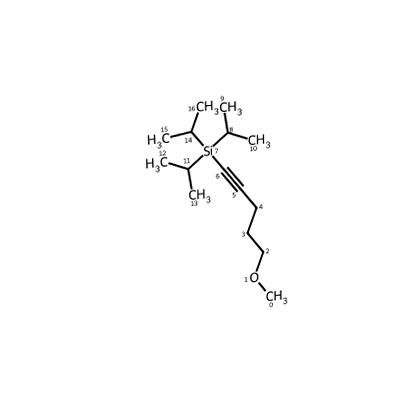 COCCCC#C[Si](C(C)C)(C(C)C)C(C)C